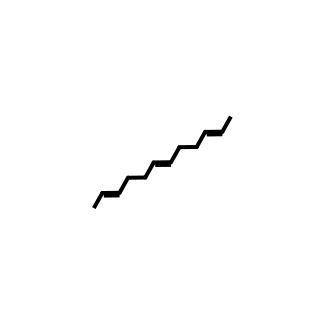 CC=CCCC=CCCC=CC